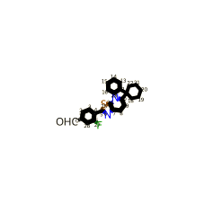 O=Cc1ccc(-c2nc3ccc(C4(c5ccccc5)CCCCC4)nc3s2)c(F)c1